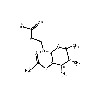 CC(=O)OC1[C@H](OCCC(=O)O)OC(C)[C@H](C)[C@@H]1C